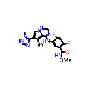 CONC(=O)c1cc(Nc2ncnn3cc(C4N=CNN4C)c(C(C)C)c23)c(F)cc1F